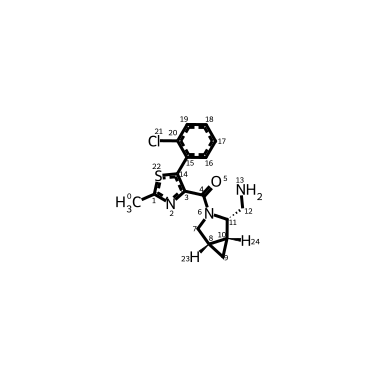 Cc1nc(C(=O)N2C[C@H]3C[C@H]3[C@H]2CN)c(-c2ccccc2Cl)s1